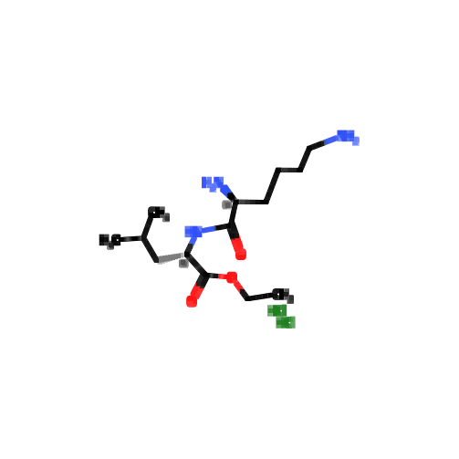 CCOC(=O)[C@H](CC(C)C)NC(=O)[C@@H](N)CCCCN.Cl.Cl